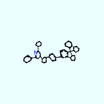 c1ccc(-c2cc(-c3cccc(-c4ccc(-c5ccc6c(c5)-c5ccccc5C6(c5ccccc5)c5ccccc5)cc4)c3)cc(-c3ccccc3)n2)cc1